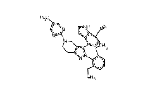 CCc1cccc(CC)c1-n1nc2c(c1-c1ccc(C#N)c3[nH]ccc13)CN(c1ncc(C)cn1)CC2